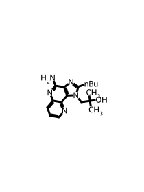 CCCCc1nc2c(N)nc3cccnc3c2n1CC(C)(C)O